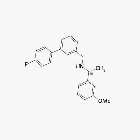 COc1cccc([C@@H](C)NCc2cccc(-c3ccc(F)cc3)c2)c1